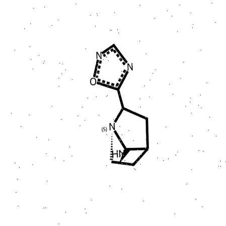 c1noc(C2CC3CC[N@@]2C32CCNC2)n1